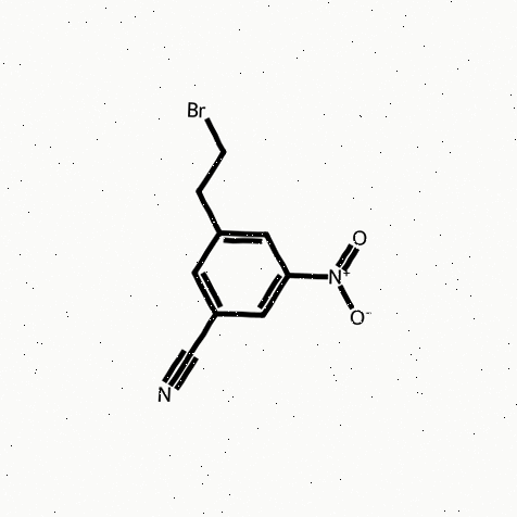 N#Cc1cc(CCBr)cc([N+](=O)[O-])c1